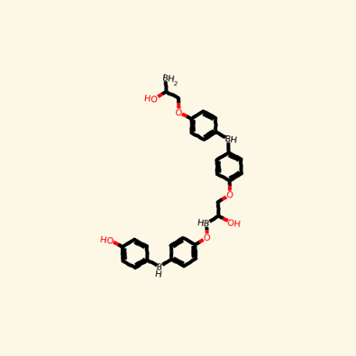 BC(O)COc1ccc(Bc2ccc(OCC(O)BOc3ccc(Bc4ccc(O)cc4)cc3)cc2)cc1